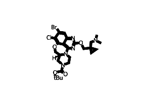 CN(C)CC1(COc2nc3c4c(c(Cl)c(Br)cc4n2)OC[C@H]2CN(C(=O)OC(C)(C)C)CCN32)CC1